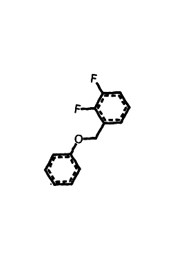 Fc1cccc(COc2cc[c]cc2)c1F